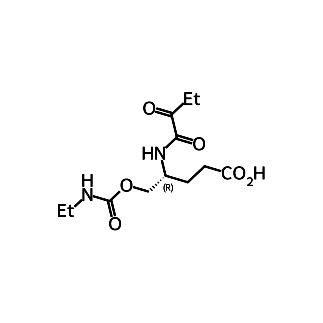 CCNC(=O)OC[C@@H](CCC(=O)O)NC(=O)C(=O)CC